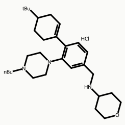 CCCCN1CCN(c2cc(CNC3CCOCC3)ccc2C2=CCC(C(C)(C)C)CC2)CC1.Cl